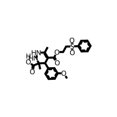 COc1cccc(C2C(C(=O)OCCS(=O)(=O)c3ccccc3)=C(C)NNC2(C)C(=O)O)c1